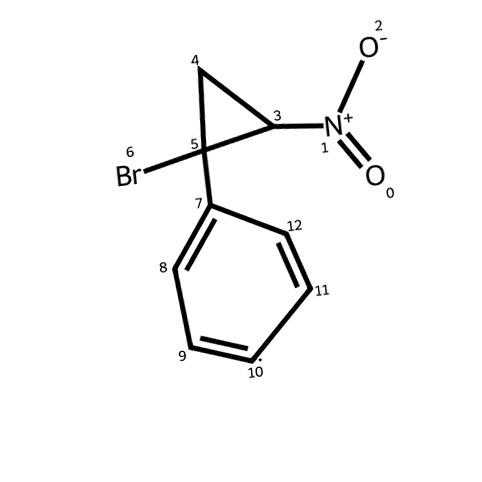 O=[N+]([O-])C1CC1(Br)c1cc[c]cc1